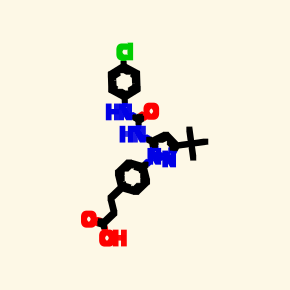 CC(C)(C)c1cc(NC(=O)Nc2ccc(Cl)cc2)n(-c2ccc(CCC(=O)O)cc2)n1